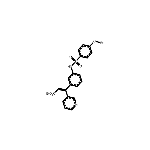 CCOC(=O)/C=C(\c1cccnc1)c1cccc(NS(=O)(=O)c2ccc(OCC)cc2)c1